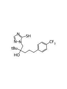 CC(C)(C)C(O)(CCCc1ccc(C(F)(F)F)cc1)Cn1ncnc1S